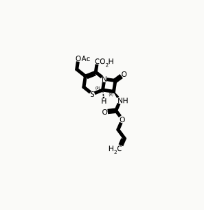 C=CCOC(=O)N[C@@H]1C(=O)N2C(C(=O)O)=C(COC(C)=O)CS[C@H]12